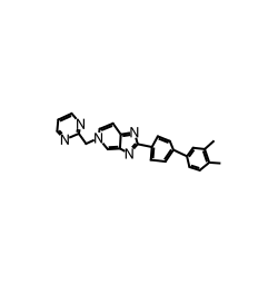 Cc1ccc(-c2ccc(-c3nc4ccn(Cc5ncccn5)cc-4n3)cc2)cc1C